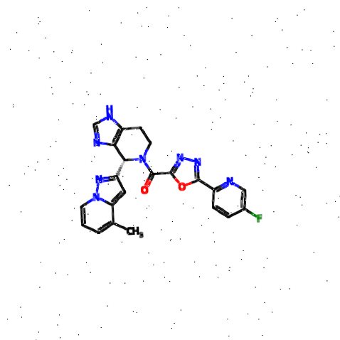 Cc1cccn2nc([C@@H]3c4nc[nH]c4CCN3C(=O)c3nnc(-c4ccc(F)cn4)o3)cc12